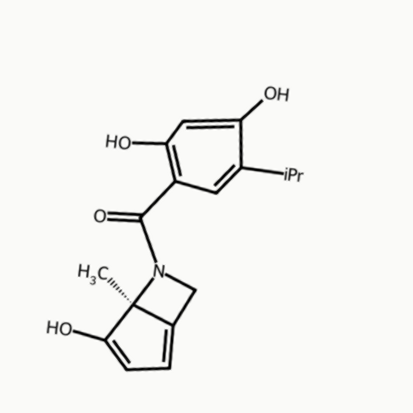 CC(C)c1cc(C(=O)N2CC3=CC=C(O)[C@]32C)c(O)cc1O